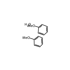 COc1ccccc1.COc1ccccc1.O